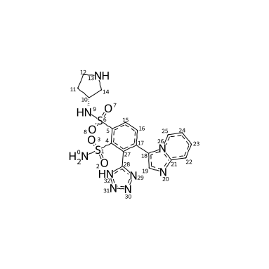 NS(=O)(=O)c1c(S(=O)(=O)N[C@@H]2CCNC2)ccc(-c2cnc3ccccn23)c1-c1nnn[nH]1